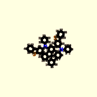 c1ccc(N(c2ccc3c(c2)C2(c4ccccc4-3)c3ccccc3-c3c(N(c4ccccc4)c4ccc5sc6ccccc6c5c4)cccc32)c2ccc3sc4ccccc4c3c2)cc1